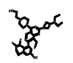 CCN(CC)C1CN(c2nc(N3CCN(CCO)CC3)c3cnc(-c4cc(O)cc5ccc(F)c(F)c45)c(CF)c3n2)C1